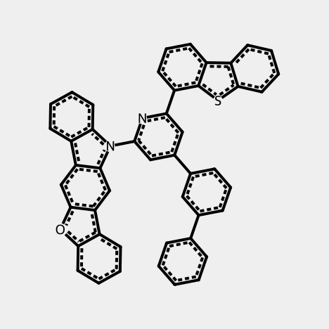 c1ccc(-c2cccc(-c3cc(-c4cccc5c4sc4ccccc45)nc(-n4c5ccccc5c5cc6oc7ccccc7c6cc54)c3)c2)cc1